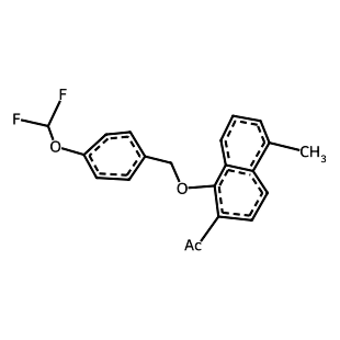 CC(=O)c1ccc2c(C)cccc2c1OCc1ccc(OC(F)F)cc1